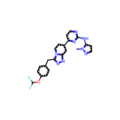 Cn1nccc1Nc1nccc(-c2ccn3c(Cc4ccc(OC(F)F)cc4)nnc3c2)n1